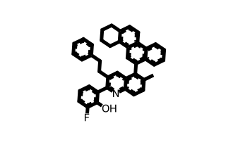 Cc1ccc2nc(-c3cccc(F)c3O)c(CCc3ccccc3)cc2c1-c1cc2c3c(ccc2c2ccccc12)CCCC3